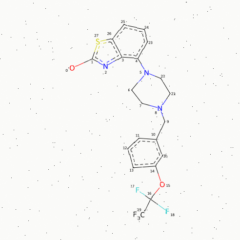 [O]c1nc2c(N3CCN(Cc4cccc(OC(F)(F)C(F)(F)F)c4)CC3)cccc2s1